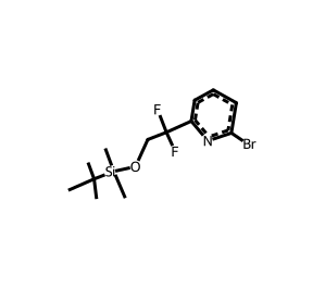 CC(C)(C)[Si](C)(C)OCC(F)(F)c1cccc(Br)n1